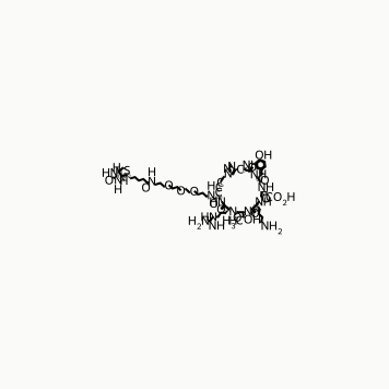 CC(O)C1NC(=O)[C@H](CCCCN)NC(=O)[C@H](CC(=O)O)NC(=O)[C@H](Cc2ccc(O)cc2)NC(=O)[C@@H](N)Cc2cn(nn2)CCCC[C@@H](C(=O)NCCCOCCOCCOCCCNC(=O)CCCC[C@H]2SC[C@H]3NC(=O)N[C@H]32)NC(=O)[C@H](CCCNC(=N)N)NC1=O